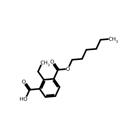 CCCCCCOC(=O)c1cccc(C(=O)O)c1CC